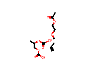 C=CC.CC(COC(=O)O)OC(=O)O.COCCOC(C)=O